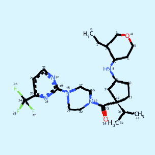 CCC1COCCC1NC1CC[C@@](C(=O)N2CCN(c3nccc(C(F)(F)F)n3)CC2)(C(C)C)C1